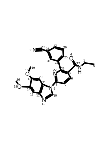 CCNC(=O)c1ccc(-n2cnc3cc(OC)c(OC)cc32)nc1-c1cccc(C#N)c1